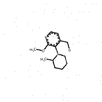 COc1nccc(C[O])c1N1CCCCC1C